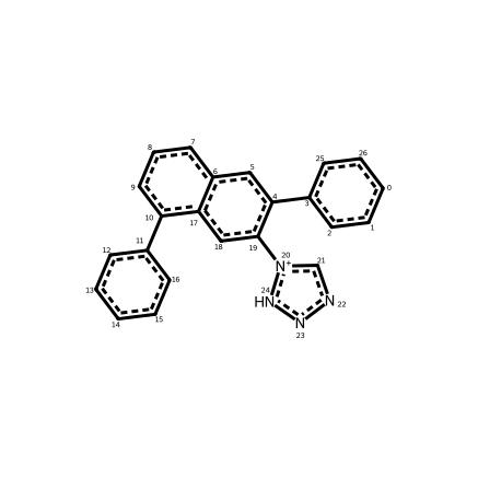 c1ccc(-c2cc3cccc(-c4ccccc4)c3cc2-[n+]2cnn[nH]2)cc1